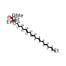 CCC=CCC=CCC=CCC=CCC=CCCCCOC(CC)(CC)C(=O)OC